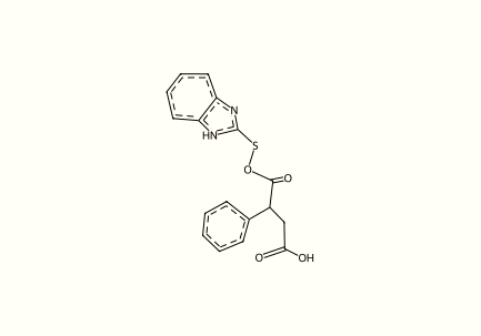 O=C(O)CC(C(=O)OSc1nc2ccccc2[nH]1)c1ccccc1